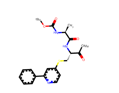 COC(=O)[C@H](CSc1ccnc(-c2ccccc2)c1)NC(=O)[C@H](C)NC(=O)OC(C)(C)C